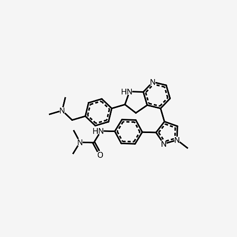 CN(C)Cc1ccc(C2Cc3c(-c4cn(C)nc4-c4ccc(NC(=O)N(C)C)cc4)ccnc3N2)cc1